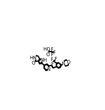 O=C(O)C(F)(F)F.O=C1NCCc2[nH]c(-c3ccnc(C=Cc4ccc(N5CCOCC5)cc4C(F)(F)F)c3)cc21